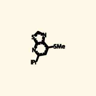 CSc1cc(C(C)C)nc2scnc12